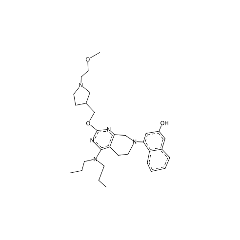 CCCN(CCC)c1nc(OCC2CCN(CCOC)C2)nc2c1CCN(c1cc(O)cc3ccccc13)C2